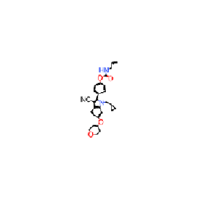 C=CCNC(=O)Oc1ccc(-c2c(C#N)c3ccc(OC4CCOCC4)cc3n2CC2CC2)cc1